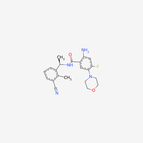 Cc1c(C#N)cccc1[C@@H](C)NC(=O)c1cc(N2CCOCC2)c(F)cc1N